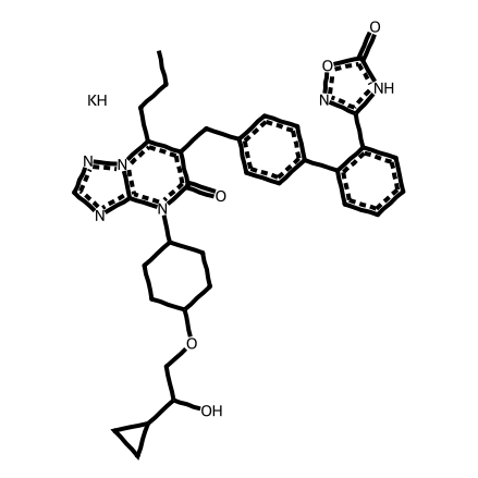 CCCc1c(Cc2ccc(-c3ccccc3-c3noc(=O)[nH]3)cc2)c(=O)n(C2CCC(OCC(O)C3CC3)CC2)c2ncnn12.[KH]